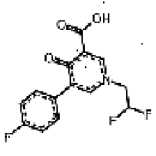 O=C(O)c1cn(CC(F)F)cc(-c2ccc(F)cc2)c1=O